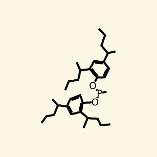 CCCC(C)c1ccc(OP(C)Oc2ccc(C(C)CCC)cc2C(C)CCC)c(C(C)CCC)c1